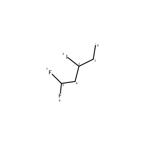 [CH2]CC(I)CC(F)F